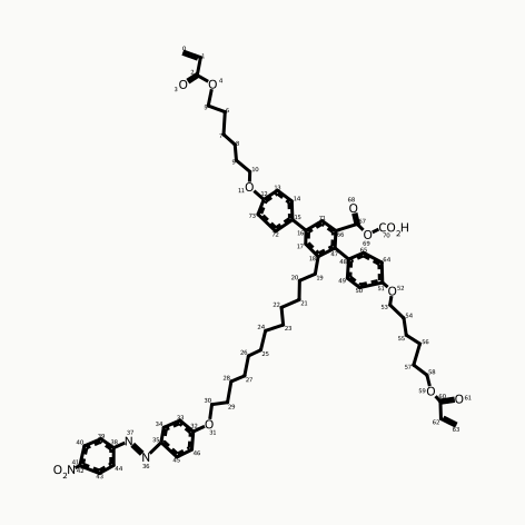 C=CC(=O)OCCCCCCOc1ccc(-c2cc(CCCCCCCCCCCCOc3ccc(N=Nc4ccc([N+](=O)[O-])cc4)cc3)c(-c3ccc(OCCCCCCOC(=O)C=C)cc3)c(C(=O)OC(=O)O)c2)cc1